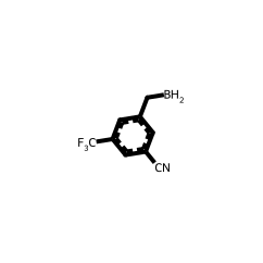 BCc1cc(C#N)cc(C(F)(F)F)c1